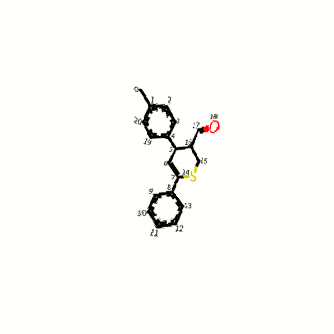 Cc1ccc(C2C=C(c3ccccc3)SCC2C=O)cc1